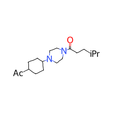 CC(=O)C1CCC(N2CCN(C(=O)CCC(C)C)CC2)CC1